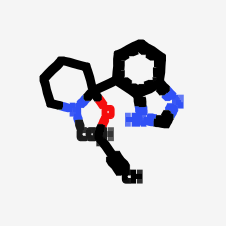 C#CCOC1(c2cccc3nc[nH]c23)CCCCN1C(=O)O